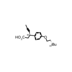 CC#C[C@H](CC(=O)O)c1ccc(OCC[C@@H](C)CC)cc1